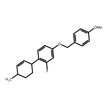 COc1ccc(COc2ccc(C3C=CC(C)CC3)c(F)c2)cc1